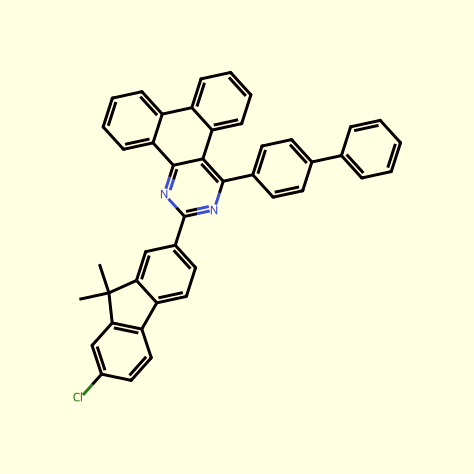 CC1(C)c2cc(Cl)ccc2-c2ccc(-c3nc(-c4ccc(-c5ccccc5)cc4)c4c5ccccc5c5ccccc5c4n3)cc21